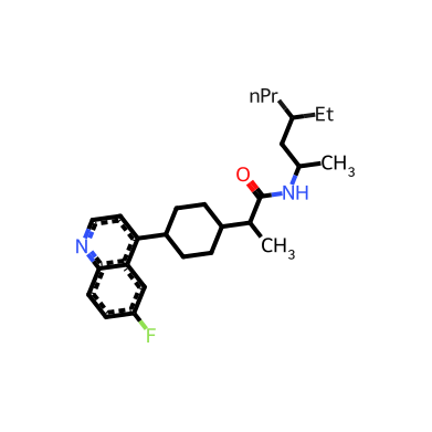 CCCC(CC)CC(C)NC(=O)C(C)C1CCC(c2ccnc3ccc(F)cc23)CC1